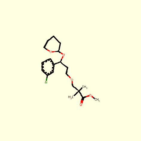 COC(=O)C(C)(C)COCCC(OC1CCCCO1)c1cccc(Br)c1